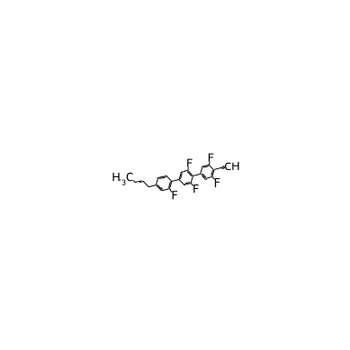 C#Cc1c(F)cc(-c2c(F)cc(-c3ccc(CCCC)cc3F)cc2F)cc1F